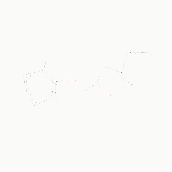 Fc1cccc(F)c1OCC1CC(CCl)=NO1